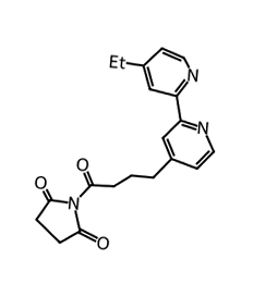 CCc1ccnc(-c2cc(CCCC(=O)N3C(=O)CCC3=O)ccn2)c1